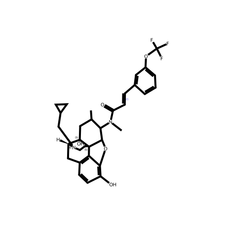 CC1C[C@@]2(O)[C@H]3Cc4ccc(O)c5c4[C@@]2(CCN3CC2CC2)C(O5)C1N(C)C(=O)/C=C/c1cccc(OC(F)(F)F)c1